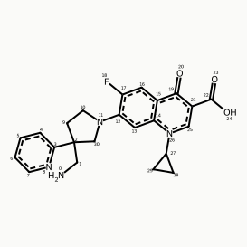 NCC1(c2ccccn2)CCN(c2cc3c(cc2F)c(=O)c(C(=O)O)cn3C2CC2)C1